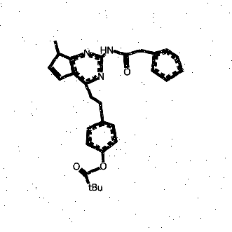 CC1C=Cc2c(CCc3ccc(OC(=O)C(C)(C)C)cc3)nc(NC(=O)Cc3ccccc3)nc21